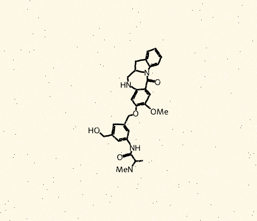 CNC(C)C(=O)Nc1cc(CO)cc(COc2cc3c(cc2OC)C(=O)N2c4ccccc4CC2CN3)c1